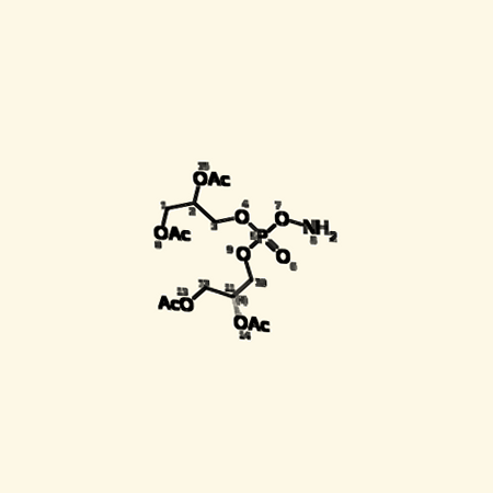 CC(=O)OCC(COP(=O)(ON)OC[C@@H](COC(C)=O)OC(C)=O)OC(C)=O